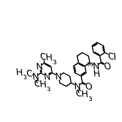 Cc1cc(N2CCC(N(C)C(=O)c3ccc4c(c3)[C@H](NC(=O)c3ccccc3Cl)CCC4)CC2)nc(N(C)C)n1